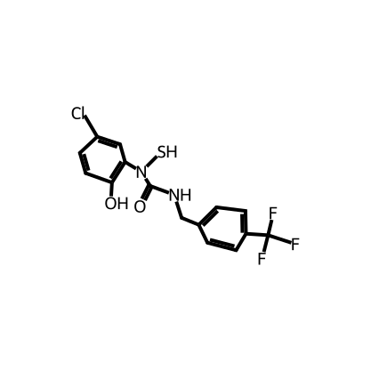 O=C(NCc1ccc(C(F)(F)F)cc1)N(S)c1cc(Cl)ccc1O